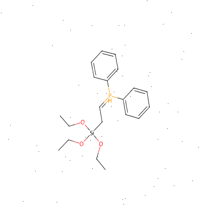 CCO[Si](CC=[PH](c1ccccc1)c1ccccc1)(OCC)OCC